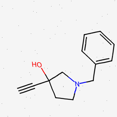 C#CC1(O)CCN(Cc2ccccc2)C1